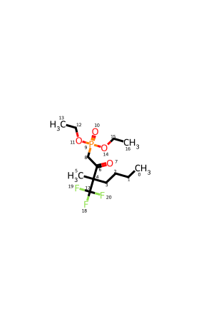 CCCCC(C)(C(=O)CP(=O)(OCC)OCC)C(F)(F)F